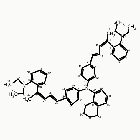 CCN(CC)c1ccccc1C(C)=CC=Cc1ccc(N(c2ccc(C=CC=C(C)c3ccccc3N(CC)CC)cc2)c2cccc3c2CCCC3)cc1